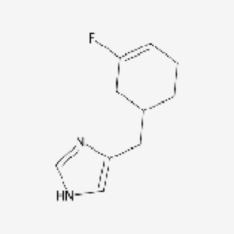 FC1=CCCC(Cc2c[nH]cn2)C1